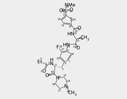 CCC(=O)N[C@H](Cc1ccc(NC(=O)[C@H](C)NC(=O)c2ccc(S(=O)(=O)NC)s2)c(F)c1)C(=O)N1CCN(C)CC1